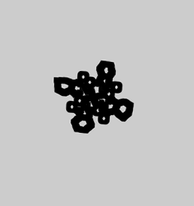 O=C1C2CCCCC2C(=O)N1CC(CN1C(=O)C2CCCCC2C1=O)(CN1C(=O)C2CCCCC2C1=O)CN1C(=O)C2CCCCC2C1=O